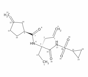 C=CC[C@](CC)(NC(=O)[C@H]1CCC(=C)C1)C(=O)NS(=O)(=O)C1CC1